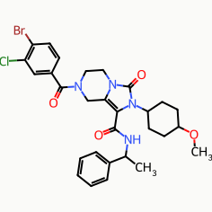 COC1CCC(n2c(C(=O)NC(C)c3ccccc3)c3n(c2=O)CCN(C(=O)c2ccc(Br)c(Cl)c2)C3)CC1